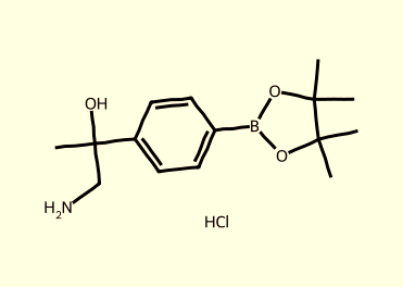 CC(O)(CN)c1ccc(B2OC(C)(C)C(C)(C)O2)cc1.Cl